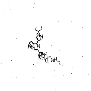 CCC(CC)n1cc(-c2nc(/C(C=N)=C/NC[C@H](CN)OC)cn3nccc23)cn1